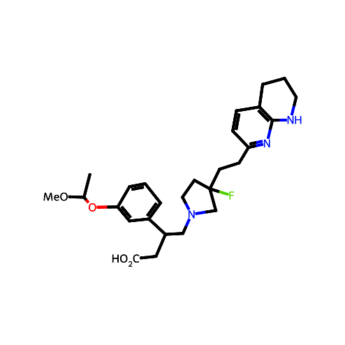 COC(C)Oc1cccc(C(CC(=O)O)CN2CCC(F)(CCc3ccc4c(n3)NCCC4)C2)c1